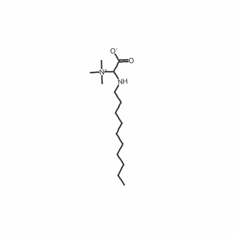 CCCCCCCCCCNC(C(=O)[O-])[N+](C)(C)C